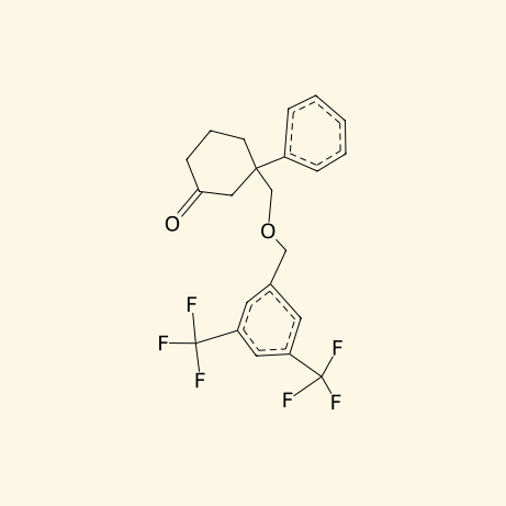 O=C1CCCC(COCc2cc(C(F)(F)F)cc(C(F)(F)F)c2)(c2ccccc2)C1